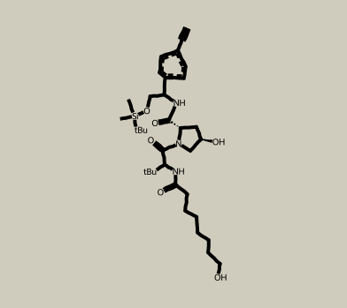 C#Cc1ccc(C(CO[Si](C)(C)C(C)(C)C)NC(=O)[C@@H]2C[C@@H](O)CN2C(=O)C(NC(=O)CCCCCCCO)C(C)(C)C)cc1